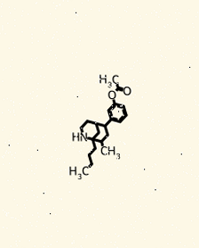 CCCCC12CC(CCN1)C(c1cccc(OC(C)=O)c1)CC2C